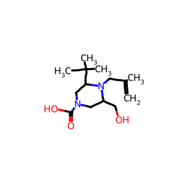 C=C(C)CN1C(CO)CN(C(=O)O)CC1C(C)(C)C